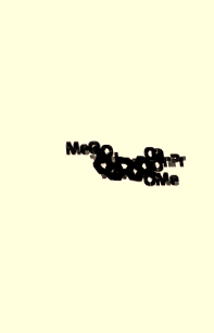 CCCC(=O)O[C@H]1C(=O)C=C2C(=CC=C3[C@@]2(C)CC[C@@]2(C)[C@@H]4C[C@](C)(C(=O)OC)CC[C@]4(C)CC[C@]32C)[C@]1(C)OC